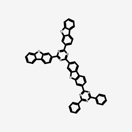 c1ccc(-c2nc(-c3ccccc3)nc(-c3ccc4c(c3)oc3cc(-c5nc(-c6ccc7c(c6)oc6ccccc67)nc(-c6ccc7c(c6)oc6ccccc67)n5)ccc34)n2)cc1